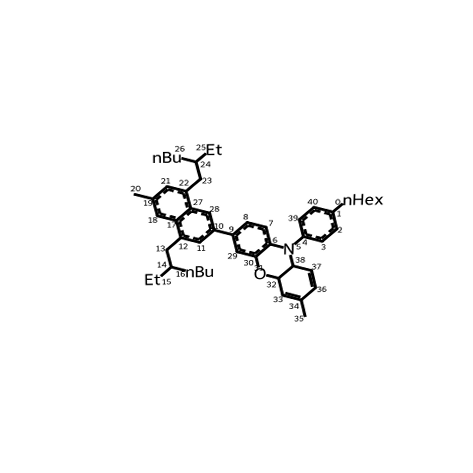 CCCCCCc1ccc(N2c3ccc(-c4cc(CC(CC)CCCC)c5cc(C)cc(CC(CC)CCCC)c5c4)cc3OC3C=C(C)C=CC32)cc1